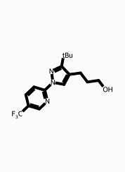 CC(C)(C)c1nn(-c2ccc(C(F)(F)F)cn2)cc1CCCO